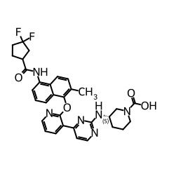 Cc1ccc2c(NC(=O)C3CCC(F)(F)C3)cccc2c1Oc1ncccc1-c1ccnc(N[C@H]2CCCN(C(=O)O)C2)n1